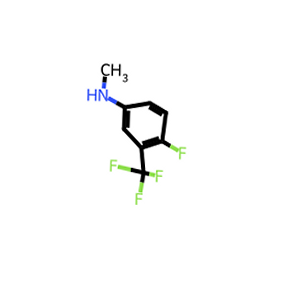 CNc1ccc(F)c(C(F)(F)F)c1